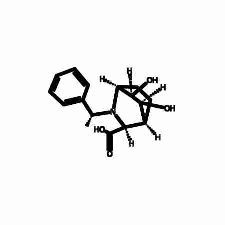 C[C@H](c1ccccc1)N1[C@H](C(=O)O)[C@@H]2CC[C@H]1[C@@H](O)[C@H]2O